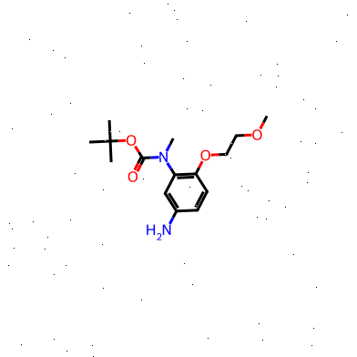 COCCOc1ccc(N)cc1N(C)C(=O)OC(C)(C)C